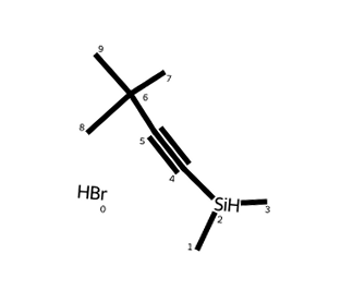 Br.C[SiH](C)C#CC(C)(C)C